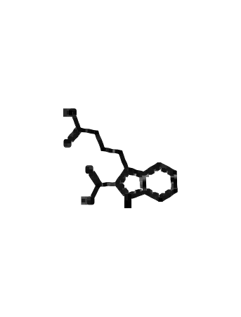 O=C(O)CCCc1c(C(=O)O)[nH]c2ccccc12